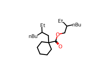 CCCCC(CC)COC(=O)C1(CC(CC)CCCC)CCCCC1